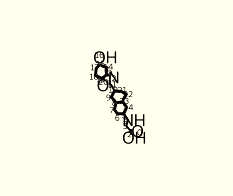 O=C(O)CNc1ccc2cc(-c3nc4cc(O)ccc4o3)ccc2c1